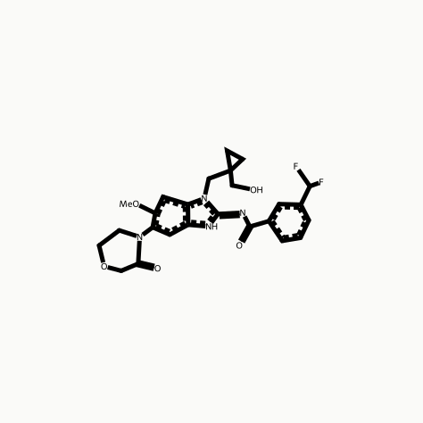 COc1cc2c(cc1N1CCOCC1=O)[nH]/c(=N\C(=O)c1cccc(C(F)F)c1)n2CC1(CO)CC1